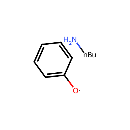 CCCCN.[O]c1ccccc1